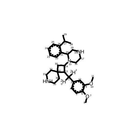 [2H]C([2H])(c1ccc(OC)c(OC)c1)C1C(N2CCNCC2c2ccccc2C(C)C)CC12CCNCC2